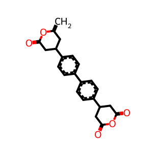 C=C1CC(c2ccc(-c3ccc(C4CC(=O)OC(=O)C4)cc3)cc2)CC(=O)O1